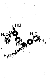 COCCOCCOc1nn(C2CCC(N3C[C@@H](C)O[C@@H](C)C3)CC2)cc1Nc1ncc(-c2ccc(C#N)c(OC(C)Cn3cnnn3)c2)cn1.Cl